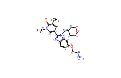 Cc1cc(-c2nc3ccc(OCCN)cc3n2CC2CCOCC2)cn(C)c1=O